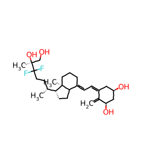 C=C1/C(=C\C=C2CCC[C@@]3(C)C2CC[C@@H]3[C@H](C)CCC(F)(F)[C@@](C)(O)CO)C[C@@H](O)C[C@H]1O